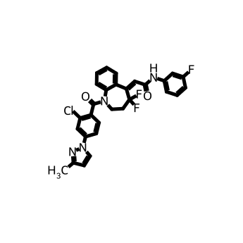 Cc1ccn(-c2ccc(C(=O)N3CCC(F)(F)/C(=C\C(=O)Nc4cccc(F)c4)c4ccccc43)c(Cl)c2)n1